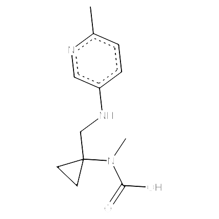 Cc1ccc(NCC2(N(C)C(=O)O)CC2)cn1